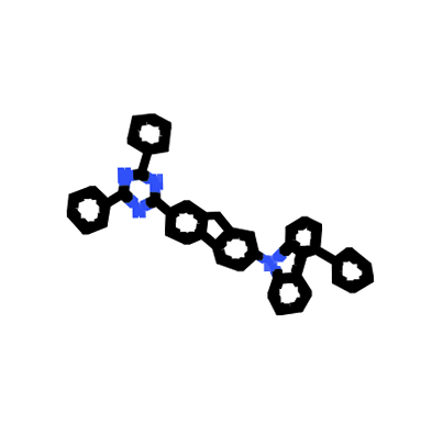 c1ccc(-c2nc(-c3ccccc3)nc(-c3ccc4c(c3)Cc3cc(-n5c6ccccc6c6c(-c7ccccc7)cccc65)ccc3-4)n2)cc1